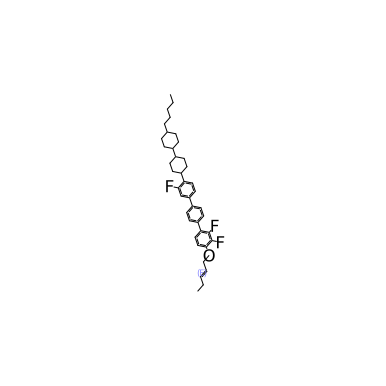 CC/C=C/COc1ccc(-c2ccc(-c3ccc(C4CCC(C5CCC(CCCCC)CC5)CC4)c(F)c3)cc2)c(F)c1F